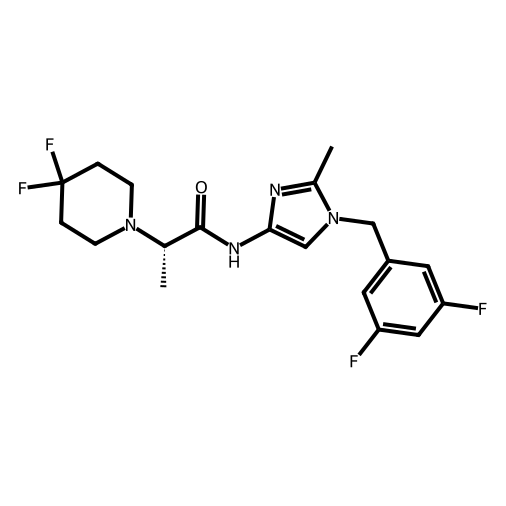 Cc1nc(NC(=O)[C@H](C)N2CCC(F)(F)CC2)cn1Cc1cc(F)cc(F)c1